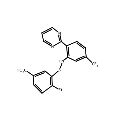 CCc1ccc(C(=O)O)cc1SNc1cc(C(F)(F)F)ccc1-c1ncccn1